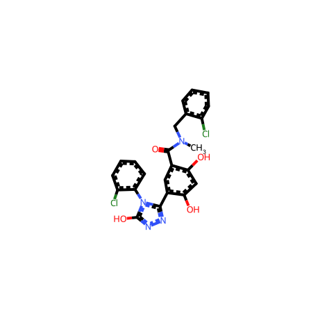 CN(Cc1ccccc1Cl)C(=O)c1cc(-c2nnc(O)n2-c2ccccc2Cl)c(O)cc1O